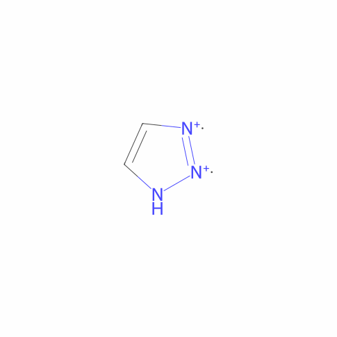 C1=CN[N+]=[N+]1